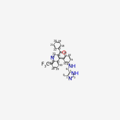 Cc1nc[nH]c1CNc1cccc(-c2c(C(=O)c3ccccc3)cnc3c(C(F)(F)F)cccc23)c1